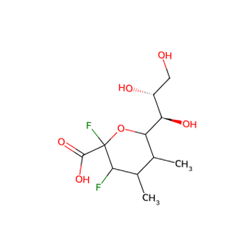 CC1C(C)C(F)C(F)(C(=O)O)OC1[C@H](O)[C@H](O)CO